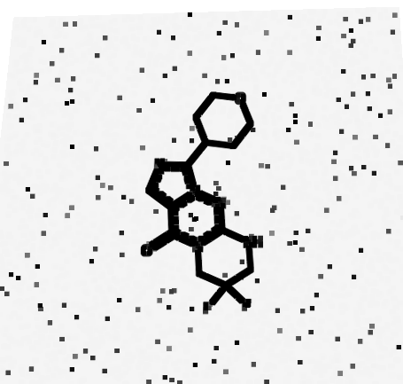 O=c1c2cnc(C3CCOCC3)n2nc2n1CC(F)(F)CN2